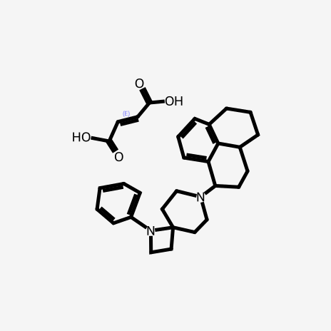 O=C(O)/C=C/C(=O)O.c1ccc(N2CCC23CCN(C2CCC4CCCc5cccc2c54)CC3)cc1